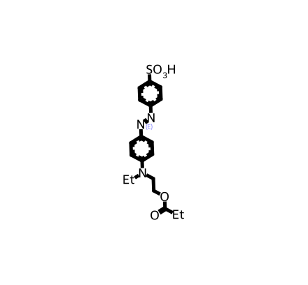 CCC(=O)OCCN(CC)c1ccc(/N=N/c2ccc(S(=O)(=O)O)cc2)cc1